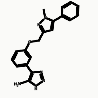 Cn1nc(COc2cccc(-c3nn[nH]c3N)c2)cc1-c1ccccc1